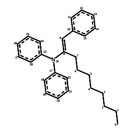 CCCCCCCCC(=Cc1ccccc1)N(c1ccccc1)c1ccccc1